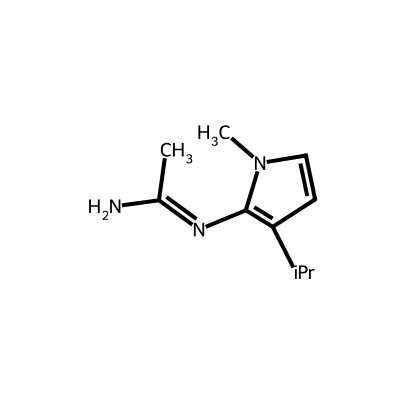 C/C(N)=N\c1c(C(C)C)ccn1C